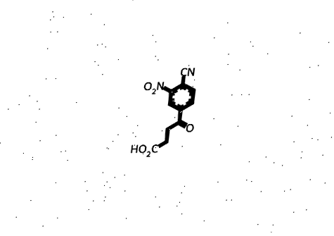 N#Cc1ccc(C(=O)CCC(=O)O)cc1[N+](=O)[O-]